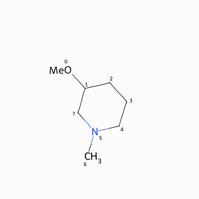 [CH2]OC1CCCN(C)C1